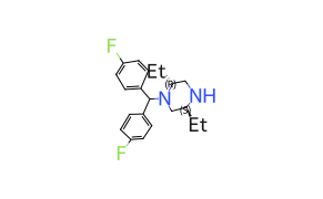 CC[C@H]1CN(C(c2ccc(F)cc2)c2ccc(F)cc2)[C@H](CC)CN1